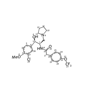 COc1ccc([C@@H](O)[C@@H](CN2CCCC2)NC(=O)Cc2ccc(OC(F)(F)F)cc2)cc1Cl